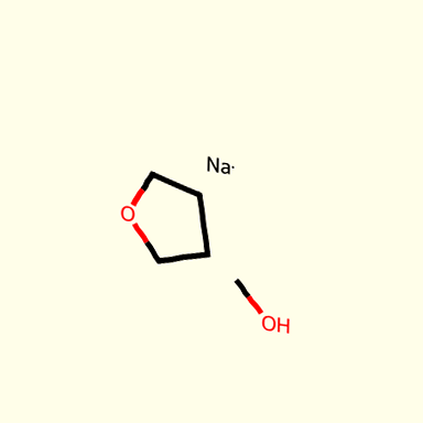 C1CCOC1.CO.[Na]